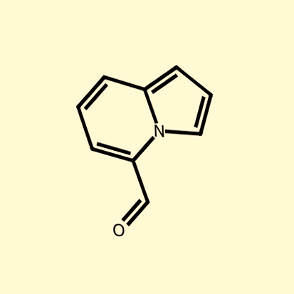 O=Cc1cccc2cccn12